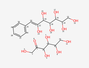 O=C(CO)C(O)C(O)C(O)CO.OCC(O)C(O)C(O)C(O)C(O)=Cc1ccccc1